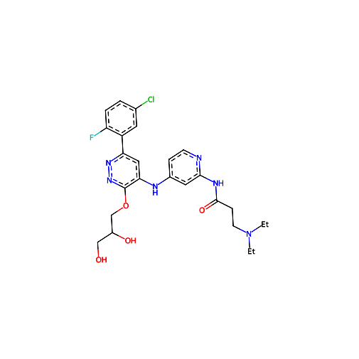 CCN(CC)CCC(=O)Nc1cc(Nc2cc(-c3cc(Cl)ccc3F)nnc2OCC(O)CO)ccn1